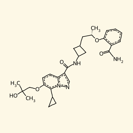 C[C@@H](CC1CC(NC(=O)c2cnn3c(C4CC4)c(OCC(C)(C)O)ccc23)C1)Oc1ccccc1C(N)=O